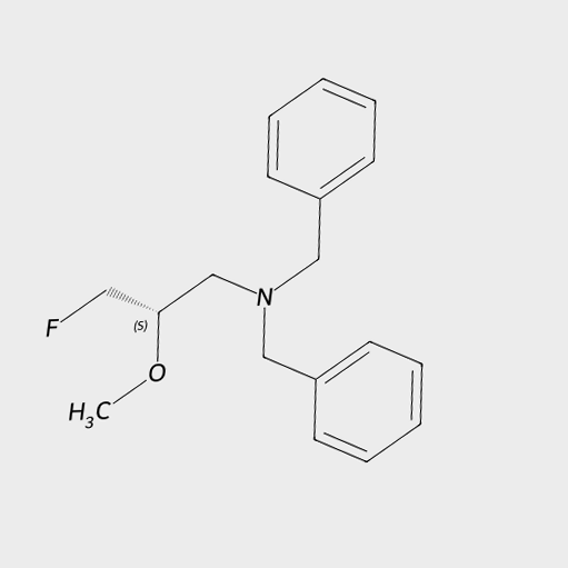 CO[C@H](CF)CN(Cc1ccccc1)Cc1ccccc1